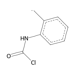 [CH2]c1ccccc1NC(=O)Cl